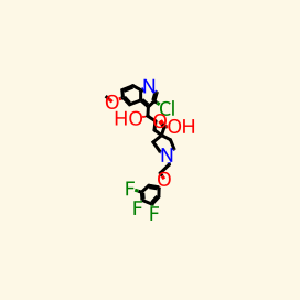 COc1ccc2ncc(Cl)c([C@H](O)CCC3(C(=O)O)CCN(CCOc4cc(F)c(F)c(F)c4)CC3)c2c1